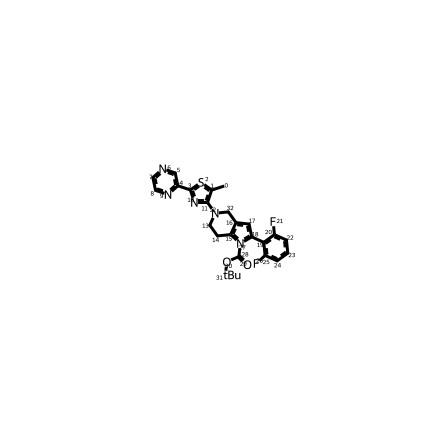 Cc1sc(-c2cnccn2)nc1N1CCc2c(cc(-c3c(F)cccc3F)n2C(=O)OC(C)(C)C)C1